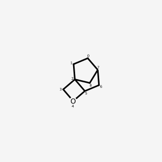 C1CC23COC2CC1C3